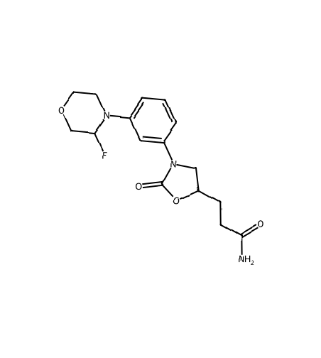 NC(=O)CCC1CN(c2cccc(N3CCOCC3F)c2)C(=O)O1